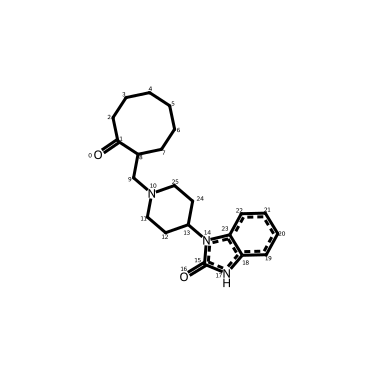 O=C1CCCCCCC1CN1CCC(n2c(=O)[nH]c3ccccc32)CC1